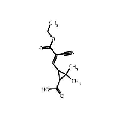 CCOC(=O)/C(C#N)=C/C1C(C(=O)O)C1(C)C